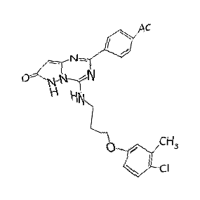 CC(=O)c1ccc(-c2nc(NCCCOc3ccc(Cl)c(C)c3)n3[nH]c(=O)cc3n2)cc1